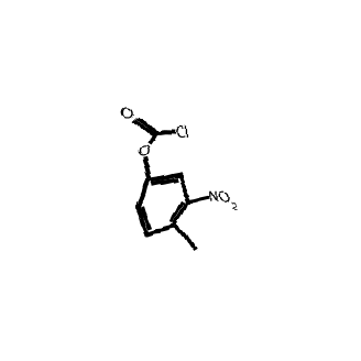 Cc1ccc(OC(=O)Cl)cc1[N+](=O)[O-]